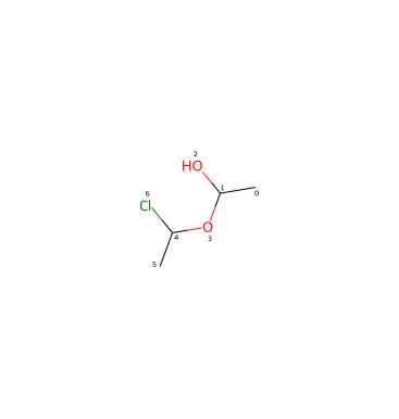 CC(O)OC(C)Cl